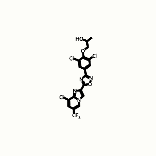 CC(O)COc1c(Cl)cc(-c2noc(-c3cn4cc(C(F)(F)F)cc(Cl)c4n3)n2)cc1Cl